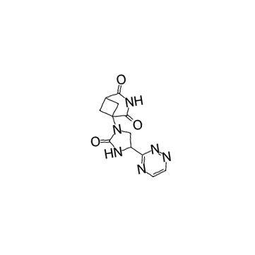 O=C1NC(=O)C2(N3CC(c4nccnn4)NC3=O)CC1C2